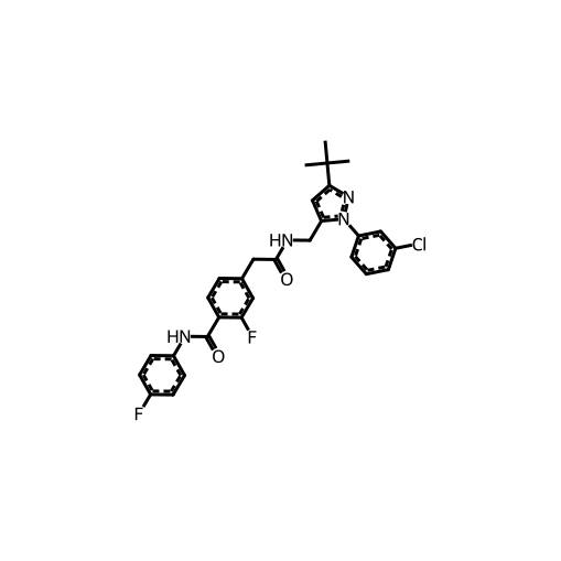 CC(C)(C)c1cc(CNC(=O)Cc2ccc(C(=O)Nc3ccc(F)cc3)c(F)c2)n(-c2cccc(Cl)c2)n1